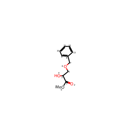 COC(=O)C(O)COCc1ccccc1